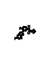 O=C(Nc1ccc(F)c(-c2cn3cc(F)cnc3n2)c1)N1CCC1